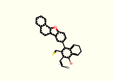 CC/C=C\c1c(C=S)c(-c2ccc3oc4c5ccccc5ccc4c3c2)c2c(c1Br)=CCCC=2